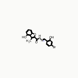 Cc1c(C(=O)N/N=C/c2ccc(Br)cc2O)oc2cccc(O)c12